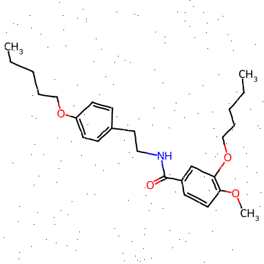 CCCCCOc1ccc(CCNC(=O)c2ccc(OC)c(OCCCCC)c2)cc1